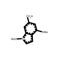 COc1cc(C(=O)O)cc2c1ccn2OC